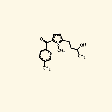 Cc1ccc(C(=O)c2ccc(CCC(C)O)n2C)cc1